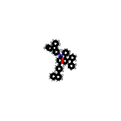 c1ccc(-c2ccccc2-c2ccccc2-c2ccccc2N(c2ccc(-c3ccc(-c4cccc5ccccc45)cc3)cc2)c2ccc3c(c2)-c2ccccc2C32CC3CCC2C3)cc1